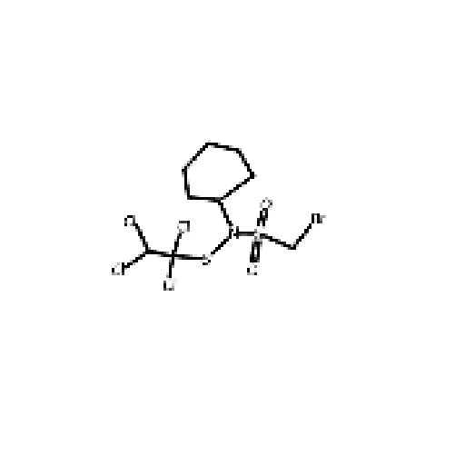 O=S(=O)(CBr)N(SC(Cl)(Cl)C(Cl)Cl)C1CCCCC1